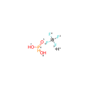 F[B-](F)(F)F.O=[PH](O)O.[H+]